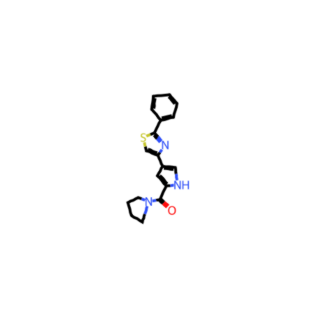 O=C(c1cc(-c2csc(-c3ccccc3)n2)c[nH]1)N1CCCC1